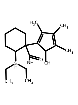 CC[SiH](CC)C1CCCCC1(C([NH])=O)C1=C(C)C(C)=C(C)C1C